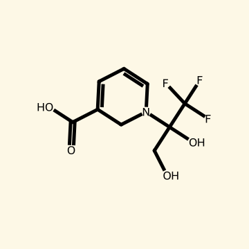 O=C(O)C1=CC=CN(C(O)(CO)C(F)(F)F)C1